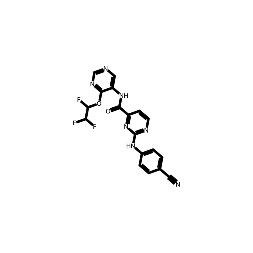 N#Cc1ccc(Nc2nccc(C(=O)Nc3cncnc3OC(F)C(F)F)n2)cc1